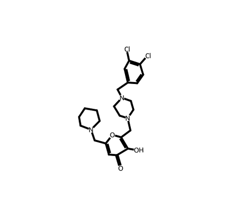 O=c1cc(CN2CCCCC2)oc(CN2CCN(Cc3ccc(Cl)c(Cl)c3)CC2)c1O